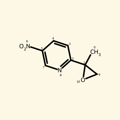 CC1(c2ccc([N+](=O)[O-])cn2)CO1